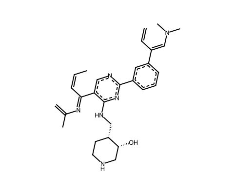 C=C/C(=C\N(C)C)c1cccc(-c2ncc(C(/C=C\C)=N/C(=C)C)c(NC[C@H]3CCNC[C@H]3O)n2)c1